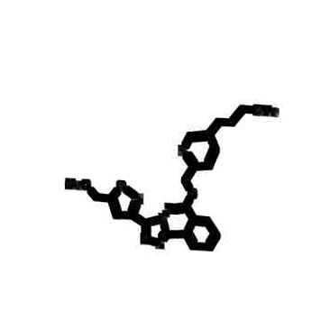 COCCCc1ccc(COc2nn3c(-c4cc(COC)on4)nnc3c3ccccc23)nc1